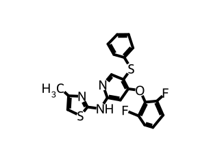 Cc1csc(Nc2cc(Oc3c(F)cccc3F)c(Sc3ccccc3)cn2)n1